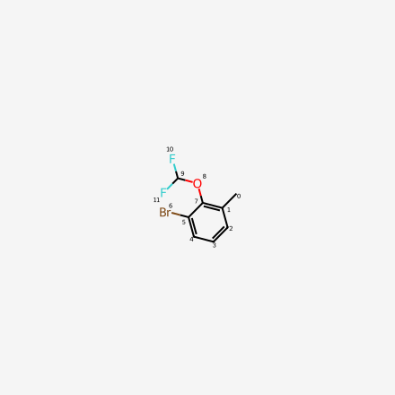 Cc1cccc(Br)c1OC(F)F